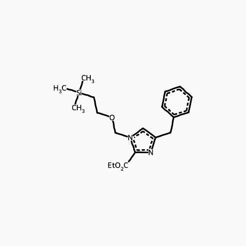 CCOC(=O)c1nc(Cc2ccccc2)cn1COCC[Si](C)(C)C